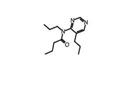 CCCC(=O)N(CCC)c1ncncc1CCC